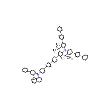 CC1(C)c2cc(-c3ccc(-c4ccccc4)cc3)ccc2N2c3ccc(-c4ccc(-c5ccccc5)cc4)cc3C(C)(C)c3cc(-c4ccc(-c5ccc(-c6ccc(N(c7ccc(-c8ccccc8)cc7)c7cccc8ccccc78)cc6)cc5)cc4)cc1c32